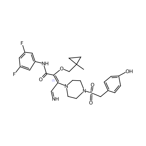 CC1(CO/C(C(=O)Nc2cc(F)cc(F)c2)=C(/C=N)N2CCN(S(=O)(=O)Cc3ccc(O)cc3)CC2)CC1